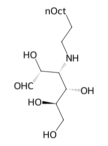 CCCCCCCCCCN[C@H]([C@H](O)[C@H](O)CO)[C@@H](O)C=O